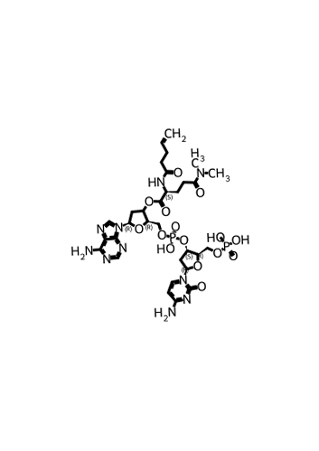 C=CCCC(=O)N[C@@H](CCC(=O)N(C)C)C(=O)OC1C[C@H](n2cnc3c(N)ncnc32)O[C@@H]1COP(=O)(O)O[C@H]1C[C@H](n2ccc(N)nc2=O)O[C@@H]1COP(=O)(O)O